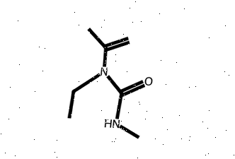 C=C(C)N(CC)C(=O)NC